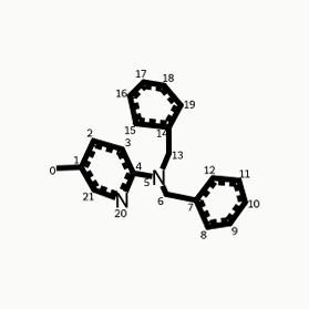 Cc1ccc(N(Cc2ccccc2)Cc2ccccc2)nc1